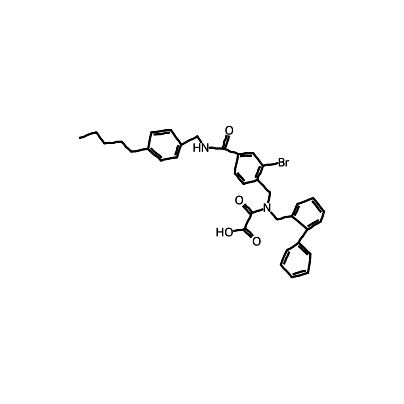 CCCCCc1ccc(CNC(=O)c2ccc(CN(Cc3ccccc3-c3ccccc3)C(=O)C(=O)O)c(Br)c2)cc1